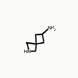 NC1CC2(CNC2)C1